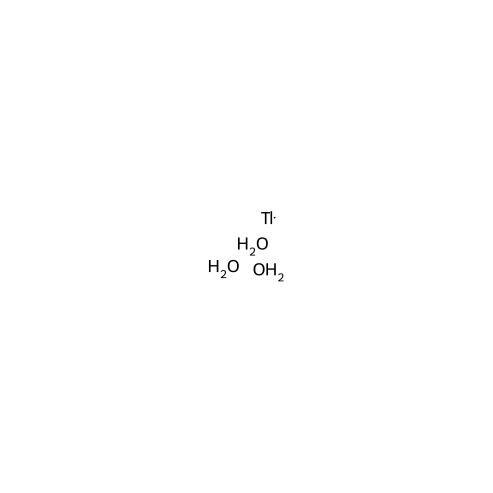 O.O.O.[Tl]